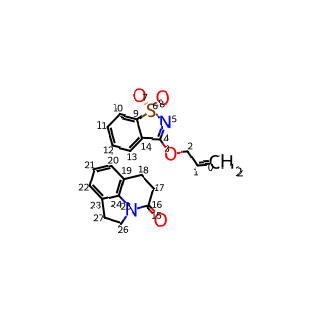 C=CCOC1=NS(=O)(=O)c2ccccc21.O=C1CCc2cccc3c2N1CC3